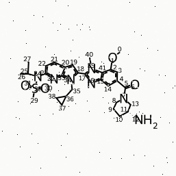 COc1cc(C(=O)N2CCC[C@@H](N)C2)cc2nc(-c3cc4ccc(N(C(C)C)S(C)(=O)=O)nc4n3CC3CC3)n(C)c12